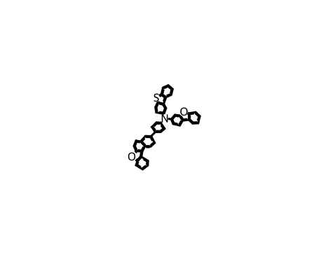 c1ccc2c(c1)oc1cc(N(c3ccc(-c4ccc5c(ccc6oc7ccccc7c65)c4)cc3)c3ccc4sc5ccccc5c4c3)ccc12